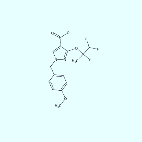 COc1ccc(Cn2cc([N+](=O)[O-])c(OC(C)(F)C(F)F)n2)cc1